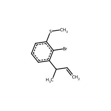 C=C[C](C)c1cccc(SC)c1Br